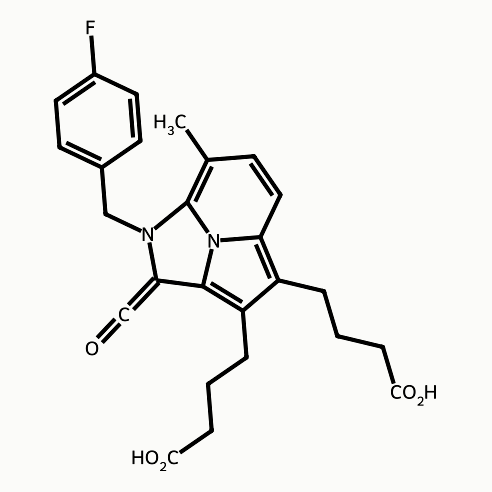 Cc1ccc2c(CCCC(=O)O)c(CCCC(=O)O)c3c(=C=O)n(Cc4ccc(F)cc4)c1n23